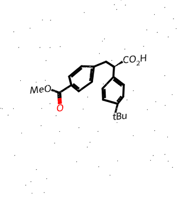 COC(=O)c1ccc(C[C@@H](C(=O)O)c2ccc(C(C)(C)C)cc2)cc1